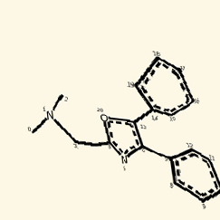 CN(C)Cc1nc(-c2ccccc2)c(-c2ccccc2)o1